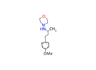 COc1ccc(CCC(C)NN2CCOCC2)cc1